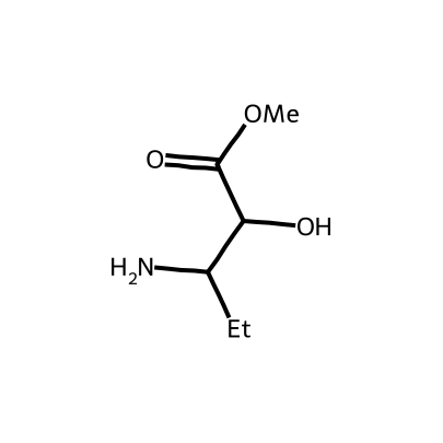 CCC(N)C(O)C(=O)OC